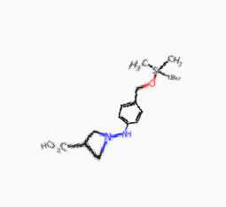 CC(C)(C)[Si](C)(C)OCc1ccc(NN2CC(C(=O)O)C2)cc1